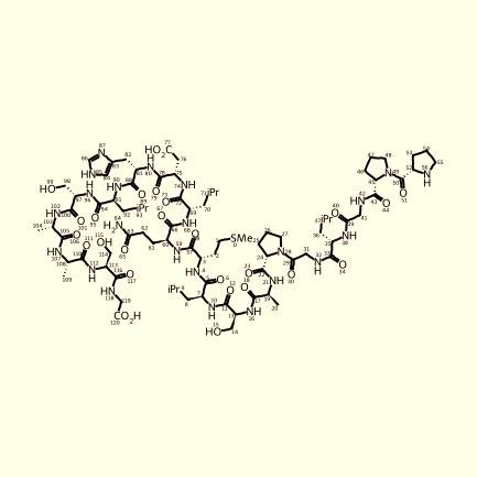 CSCC[C@H](NC(=O)[C@H](CC(C)C)NC(=O)[C@H](CO)NC(=O)[C@H](C)NC(=O)[C@@H]1CCCN1C(=O)CNC(=O)[C@H](CC(C)C)NC(=O)CNC(=O)[C@@H]1CCCN1C(=O)[C@@H]1CCCN1)C(=O)N[C@@H](CCC(N)=O)C(=O)N[C@@H](CC(C)C)C(=O)N[C@@H](CC(=O)O)C(=O)N[C@@H](Cc1c[nH]cn1)C(=O)N[C@@H](CC(C)C)C(=O)N[C@@H](CO)C(=O)N[C@@H](C)C(=O)N[C@@H](C)C(=O)N[C@@H](CO)C(=O)NCC(=O)O